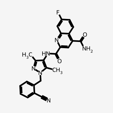 Cc1nn(Cc2ccccc2C#N)c(C)c1NC(=O)c1cc(C(N)=O)c2ccc(F)cc2n1